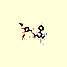 C[C@@]1(N)CNc2c1cc([C@](O)(CNC(=O)c1ccc(OC3CC3)c(OCCO)c1)C(F)(F)F)nc2-c1ccc(F)cc1